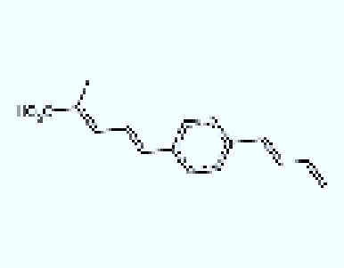 C=CC=Cc1ccc(C=CC=C(C)C(=O)O)cc1